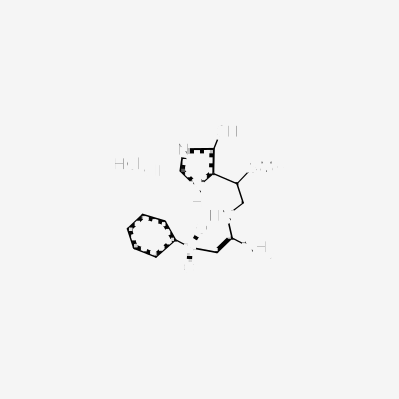 CSC(CNC(N)=CS(=O)(=O)c1ccccc1)c1[nH]cnc1C.Cl.Cl